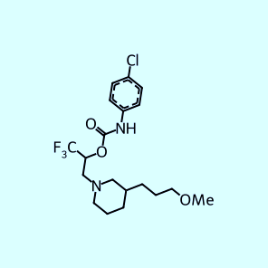 COCCCC1CCCN(CC(OC(=O)Nc2ccc(Cl)cc2)C(F)(F)F)C1